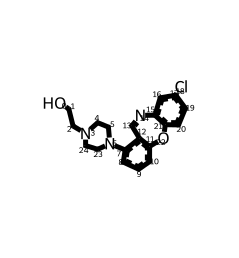 OCCN1CCN(c2cccc3c2C=Nc2cc(Cl)ccc2O3)CC1